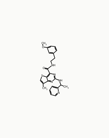 COc1cccc(CCNC(=O)c2nc(NC(C)c3ccccn3)nc3c(C)csc23)c1